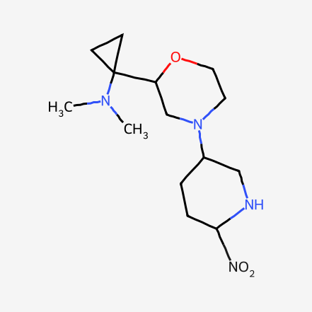 CN(C)C1(C2CN(C3CCC([N+](=O)[O-])NC3)CCO2)CC1